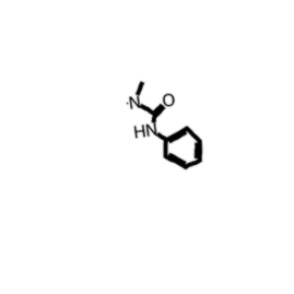 C[N]C(=O)Nc1ccccc1